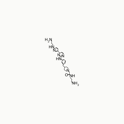 NCCCNC(=O)CN1CCC(Cc2cccc(Nc3nccc(-c4ccc(NCCCN)nc4)n3)c2)CC1